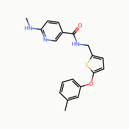 CNc1ccc(C(=O)NCc2ccc(Oc3cccc(C)c3)s2)cn1